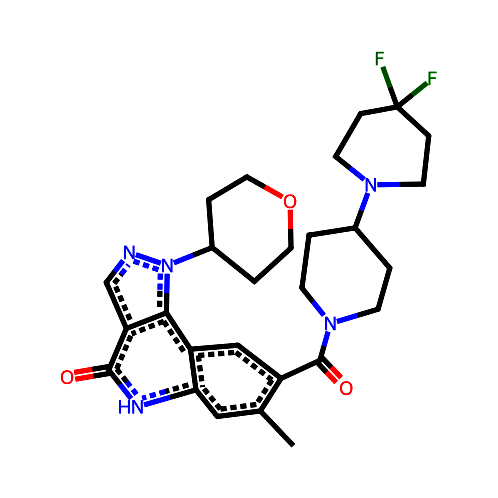 Cc1cc2[nH]c(=O)c3cnn(C4CCOCC4)c3c2cc1C(=O)N1CCC(N2CCC(F)(F)CC2)CC1